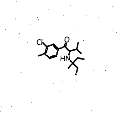 CCC(C)(CC)NC(C(=O)c1ccc(C)c(Cl)c1)C(C)C